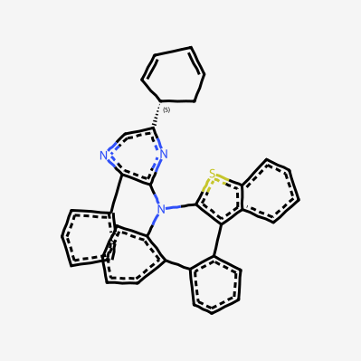 C1=CC[C@H](c2cnc(-c3ccccc3)c(N3c4ccccc4-c4ccccc4-c4c3sc3ccccc43)n2)C=C1